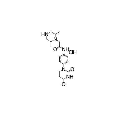 CC1CNCC(C)N1CC(=O)Nc1ccc(N2CCC(=O)NC2=O)cc1.Cl